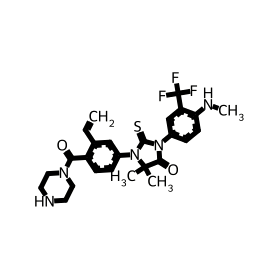 C=Cc1cc(N2C(=S)N(c3ccc(NC)c(C(F)(F)F)c3)C(=O)C2(C)C)ccc1C(=O)N1CCNCC1